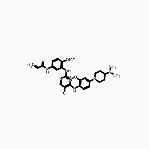 C=CC(=O)Nc1ccc(OC)c(Nc2ncc(Cl)c(Nc3ccc(N4CCC(N(C)C)CC4)cc3OC)n2)c1